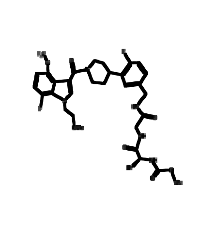 COCCn1cc(C(=O)N2CCC(c3cc(CNC(=O)CNC(=O)[C@@H](NC(=O)OC(C)(C)C)C(C)C)ccc3F)CC2)c2c(OC(F)(F)F)ccc(F)c21